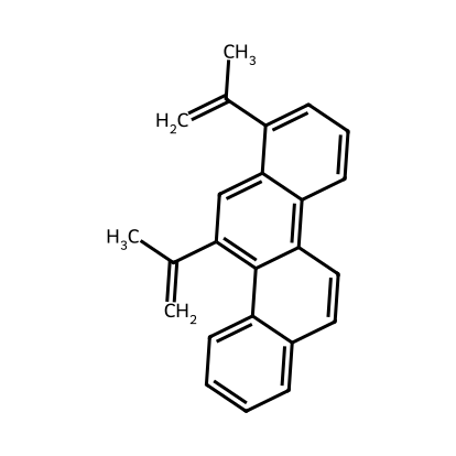 C=C(C)c1cccc2c1cc(C(=C)C)c1c3ccccc3ccc21